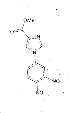 COC(=O)c1cn(-c2ccc(N=O)c(N=O)c2)cn1